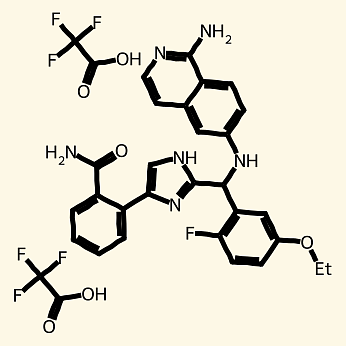 CCOc1ccc(F)c(C(Nc2ccc3c(N)nccc3c2)c2nc(-c3ccccc3C(N)=O)c[nH]2)c1.O=C(O)C(F)(F)F.O=C(O)C(F)(F)F